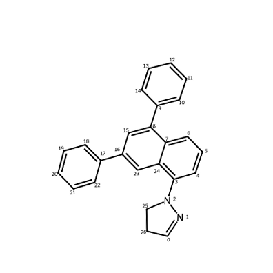 C1=NN(c2cccc3c(-c4ccccc4)cc(-c4ccccc4)cc23)CC1